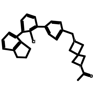 CC(=O)N1CC2(CN(Cc3ccc(-c4cccc(-c5cccc6c5CCC6)c4Cl)cc3)C2)C1